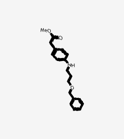 COC(=O)Cc1ccc(NCCCOCc2ccccc2)cc1